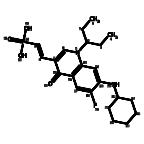 CCC(CC)n1cc(C=CP(=O)(O)O)c(=O)c2cc(F)c(NC3CCCCC3)cc21